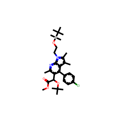 COC(=O)C(OC(C)(C)C)c1c(C)nc2c(c(C)c(C)n2CCO[Si](C)(C)C(C)(C)C)c1-c1ccc(Cl)cc1